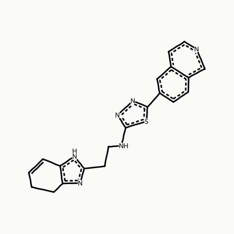 C1=Cc2[nH]c(CCNc3nnc(-c4ccc5cnccc5c4)s3)nc2CC1